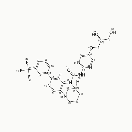 O=C(Nc1ncc(OC[C@@H](O)CO)cn1)N1c2nc(-c3cccc(C(F)(F)F)c3)ncc2N2CCC[C@H]1C2